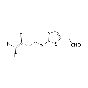 O=CCc1cnc(SCCC(F)=C(F)F)s1